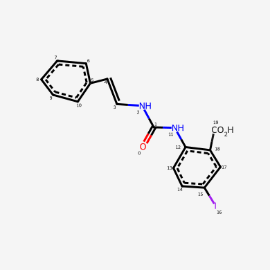 O=C(NC=Cc1ccccc1)Nc1ccc(I)cc1C(=O)O